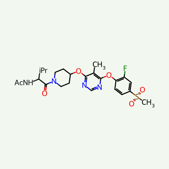 CC(=O)NC(C(=O)N1CCC(Oc2ncnc(Oc3ccc(S(C)(=O)=O)cc3F)c2C)CC1)C(C)C